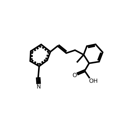 CC1(C/C=C/c2cccc(C#N)c2)C=CC=CC1C(=O)O